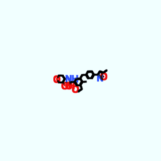 Cc1cc(-c2ccc(Cc3cc(C(=O)N[C@H]4CCOC[C@@H]4O)c4c(c3C)CCO4)cc2)no1